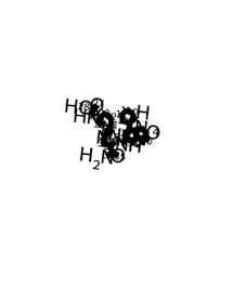 CC1(C)C(=O)Nc2c(C3=CCCCC3)cc(Nc3nc(N4CCCC(NC(=O)O)C4)ncc3C(N)=O)cc21